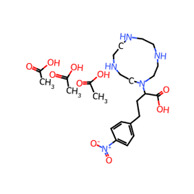 CC(=O)O.CC(=O)O.CC(=O)O.O=C(O)C(CCc1ccc([N+](=O)[O-])cc1)N1CCNCCNCCNCC1